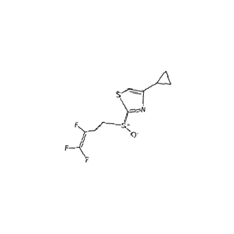 [O-][S+](CCC(F)=C(F)F)c1nc(C2CC2)cs1